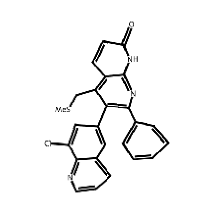 CSCc1c(-c2cc(Cl)c3ncccc3c2)c(-c2ccccc2)nc2[nH]c(=O)ccc12